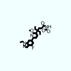 CCn1ncc2c(F)cc(-c3ccc(C(C=C4OC(=O)NC4=O)(CC)CC)c(OC)n3)cc21